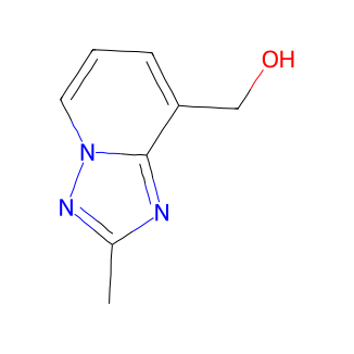 Cc1nc2c(CO)cccn2n1